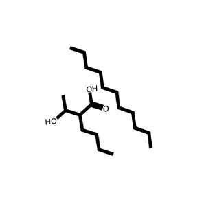 CCCCC(C(=O)O)C(C)O.CCCCCCCCCCC